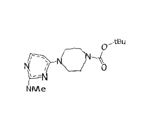 CNc1nccc(N2CCN(C(=O)OC(C)(C)C)CC2)n1